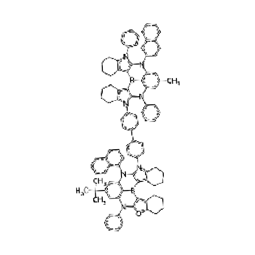 Cc1cc2c3c(c1)N(c1ccc4ccccc4c1)c1c(c4c(n1-c1ccccc1)CCCC4)B3c1c3c(n(-c4ccc(-c5ccc(-n6c7c(c8c6N(c6cccc9ccccc69)c6cc(C(C)(C)C)cc9c6B8c6c(oc8c6CCCC8)N9c6ccccc6)CCCC7)cc5)cc4)c1N2c1ccccc1)CCCC3